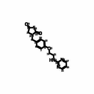 O=C1CN(Cc2ccc(OCCNc3ncccn3)cc2)C(=O)S1